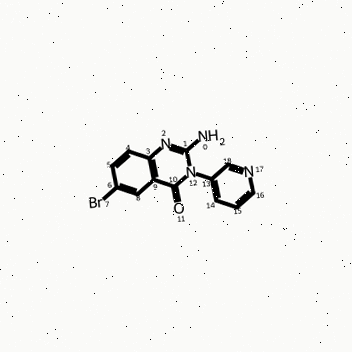 Nc1nc2ccc(Br)cc2c(=O)n1-c1cccnc1